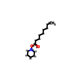 CCCCCCCCC(=O)ON1CCCCC1